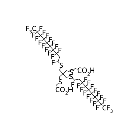 O=C(O)CSCC(CSCC(=O)O)(CSC(F)CC(F)(F)C(F)(F)C(F)(F)C(F)(F)C(F)(F)C(F)(F)C(F)(F)C(F)(F)F)CSC(F)CC(F)(F)C(F)(F)C(F)(F)C(F)(F)C(F)(F)C(F)(F)C(F)(F)C(F)(F)F